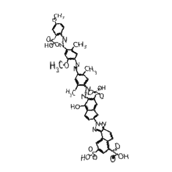 COc1ccc(N=Nc2cc(OC)c(N=Nc3cc(C)c(N=Nc4c(S(=O)(=O)O)cc5cc(-n6nc7ccc8c(S(=O)(=O)O)cc(S(=O)(=O)O)cc8c7n6)ccc5c4O)cc3C)cc2C)c(S(=O)(=O)O)c1